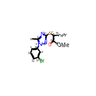 CCCC(Sc1nc(C)n(-c2cccc(Br)c2)n1)C(=O)OC